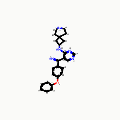 N=C(c1ccc(Oc2ccccc2)cc1)c1cncnc1NC1CC2(CCNCC2)C1